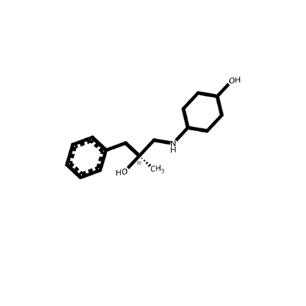 C[C@@](O)(CNC1CCC(O)CC1)Cc1ccccc1